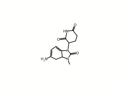 CN1C(=O)N(C2CCC(=O)NC2=O)C2=CC=C(N)CC21